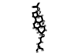 C=C(C)O[C@H]1CCC2C3CCC4C[C@@H](OCCCN(C)C)CC[C@]4(C)C3CC[C@@]21C